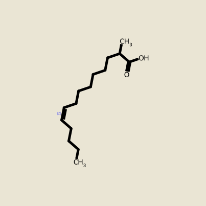 CCCC/C=C\CCCCCCC(C)C(=O)O